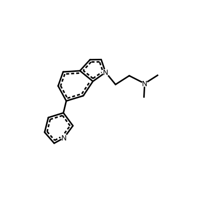 CN(C)CCn1ccc2ccc(-c3cccnc3)cc21